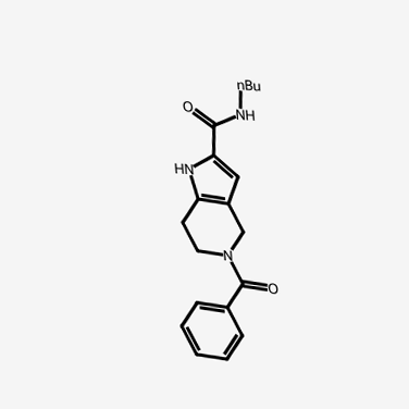 CCCCNC(=O)c1cc2c([nH]1)CCN(C(=O)c1ccccc1)C2